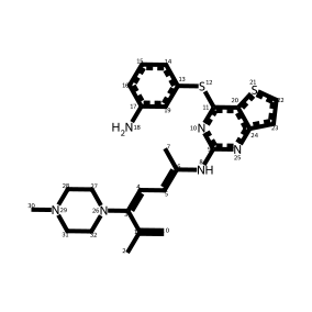 C=C(C)/C(=C\C=C(/C)Nc1nc(Sc2cccc(N)c2)c2sccc2n1)N1CCN(C)CC1